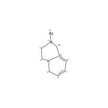 CC(=O)N1CCC2CC=CC=C2C1